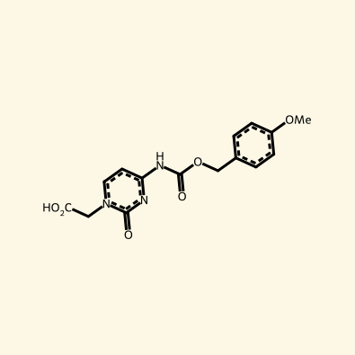 COc1ccc(COC(=O)Nc2ccn(CC(=O)O)c(=O)n2)cc1